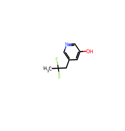 CC(F)(F)Cc1cncc(O)c1